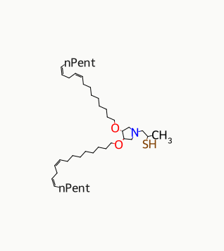 CCCCC/C=C\C/C=C\CCCCCCCCO[C@@H]1CN(CC(C)S)C[C@H]1OCCCCCCCC/C=C\C/C=C\CCCCC